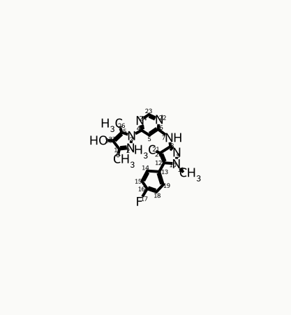 Cc1nn(-c2cc(Nc3nn(C)c(-c4ccc(F)cc4)c3C)ncn2)c(C)c1O